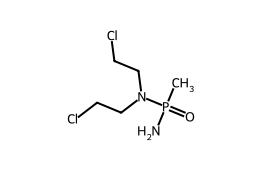 CP(N)(=O)N(CCCl)CCCl